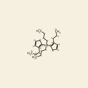 CCC[CH2][Hf]([CH2]CCC)([C]1=C(CCC)C=CC1)[C]1=C(CCC)C=CC1